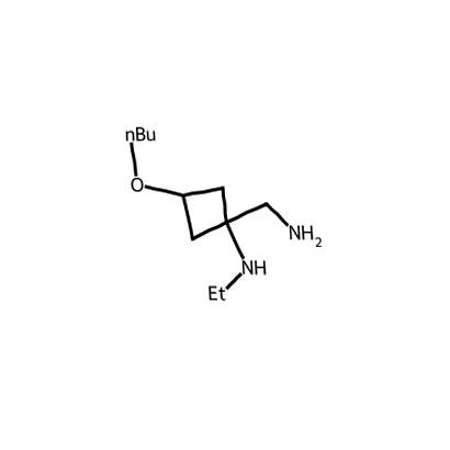 CCCCOC1CC(CN)(NCC)C1